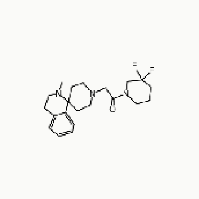 CN1CCc2ccccc2C12CCN(CC(=O)N1CCCC(F)(F)C1)CC2